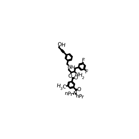 CCCN(CCC)C(=O)c1cc(C)cc(C(=O)OC(CNCc2cccc(C#CCO)c2)C(N)Cc2cc(F)cc(F)c2)c1